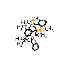 CCC(CC)(Pc1c(C)cccc1CP(C)C)c1cc(C)cc(C(C)(C)C)c1OCc1ccccc1